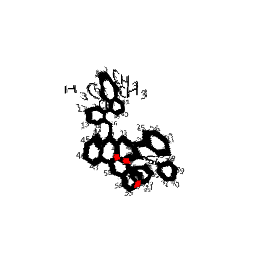 CC1(C)CCC(C)(C)c2c(-c3ccccc3CC(c3ccc4c(c3)-c3ccccc3[Si]4(c3ccccc3)c3ccccc3)c3ccccc3-c3ccc4ccccc4c3)cccc21